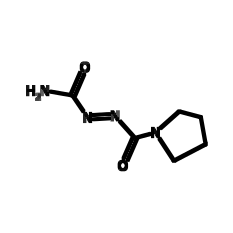 NC(=O)N=NC(=O)N1CCCC1